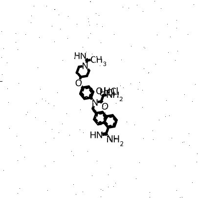 CC(=N)N1CCC(Oc2ccc(N(Cc3ccc4c(C(=N)N)cccc4c3)C(=O)C(N)=O)cc2)CC1.Cl.Cl